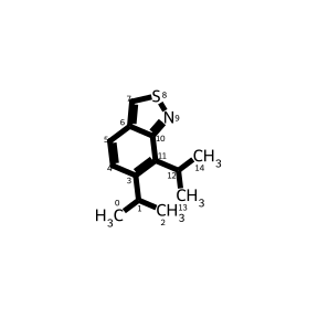 CC(C)c1ccc2csnc2c1C(C)C